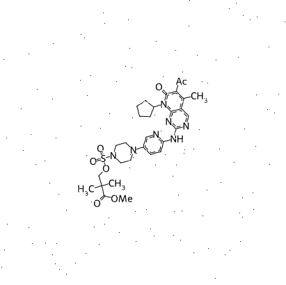 COC(=O)C(C)(C)COS(=O)(=O)N1CCN(c2ccc(Nc3ncc4c(C)c(C(C)=O)c(=O)n(C5CCCC5)c4n3)nc2)CC1